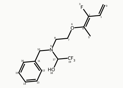 C=C/C(F)=C(\C)OCCN(Cc1ccccc1)C(O)C(F)(F)F